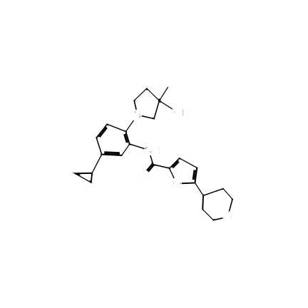 CC1(O)CCN(c2ccc(C3CC3)cc2NC(=O)c2ccc(C3CCOCC3)o2)C1